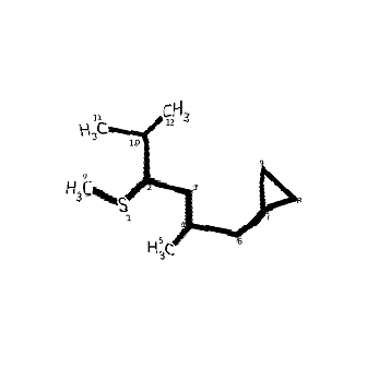 CSC(CC(C)CC1CC1)C(C)C